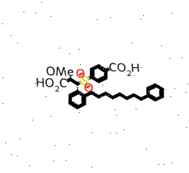 CO[C@@H](C(=O)O)[C@@H](c1ccccc1CCCCCCCCc1ccccc1)S(=O)(=O)c1ccc(C(=O)O)cc1